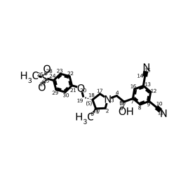 C[C@@H]1CN(C[C@@H](O)c2cc(C#N)cc(C#N)c2)C[C@H]1COc1ccc(S(C)(=O)=O)cc1